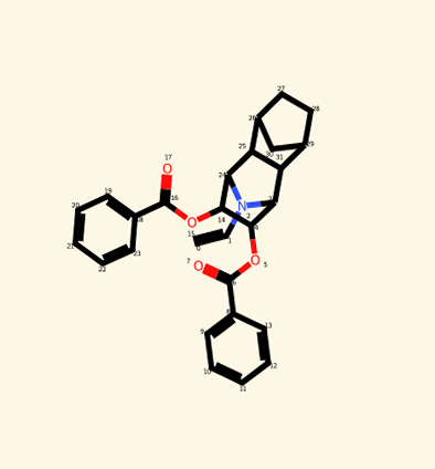 C=CN1C2C(OC(=O)c3ccccc3)C(OC(=O)c3ccccc3)C1C1C3CCC(C3)C12